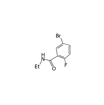 [CH2]CNC(=O)c1cc(Br)ccc1F